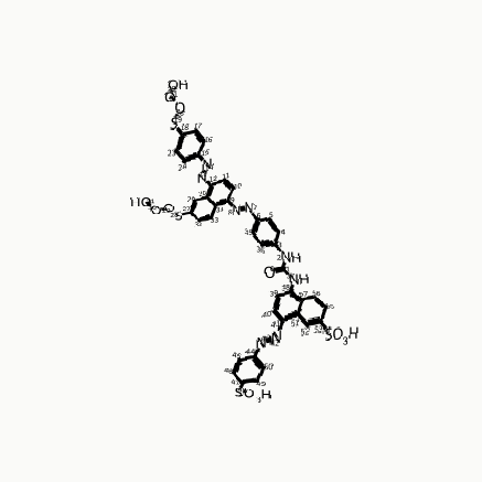 O=C(Nc1ccc(N=Nc2ccc(N=Nc3ccc(SOOO)cc3)c3cc(SOOO)ccc23)cc1)Nc1ccc(N=Nc2ccc(S(=O)(=O)O)cc2)c2cc(S(=O)(=O)O)ccc12